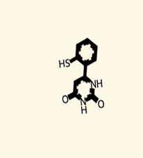 O=c1cc(-c2ccccc2S)[nH]c(=O)[nH]1